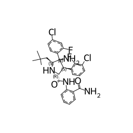 CC(C)(C)C[C@@H]1N[C@@H](C(=O)Nc2ccccc2C(N)=O)[C@H](c2cccc(Cl)c2F)[C@@]1(N)c1ccc(Cl)cc1F